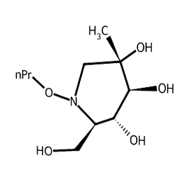 CCCON1C[C@](C)(O)[C@@H](O)[C@H](O)[C@H]1CO